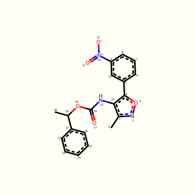 Cc1noc(-c2cccc([N+](=O)[O-])c2)c1NC(=O)OC(C)c1ccccc1